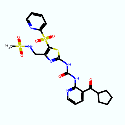 CS(=O)(=O)NCc1nc(NC(=O)Nc2ncccc2C(=O)C2CCCC2)sc1S(=O)(=O)c1ccccn1